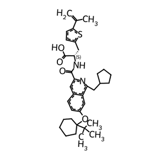 C=C(C)c1ccc(C[C@H](NC(=O)c2cc3ccc(OC4(C(C)(C)C)CCCCC4)cc3c(CC3CCCC3)n2)C(=O)O)s1